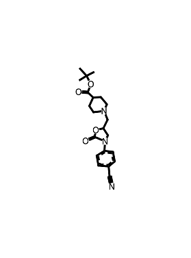 CC(C)(C)OC(=O)C1CCN(CC2CN(c3ccc(C#N)cc3)C(=O)O2)CC1